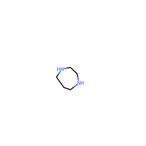 [CH]1CNCCCN1